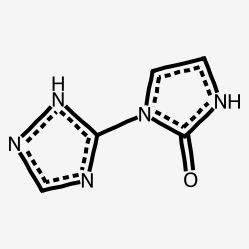 O=c1[nH]ccn1-c1ncn[nH]1